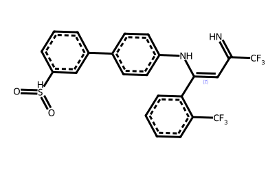 N=C(/C=C(\Nc1ccc(-c2cccc([SH](=O)=O)c2)cc1)c1ccccc1C(F)(F)F)C(F)(F)F